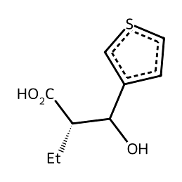 CC[C@H](C(=O)O)C(O)c1ccsc1